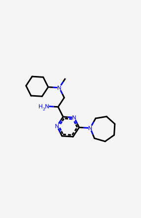 CN(CC(N)c1nccc(N2CCCCCC2)n1)C1CCCCC1